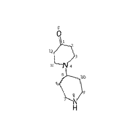 O=C1CCN(C2CCNCC2)CC1